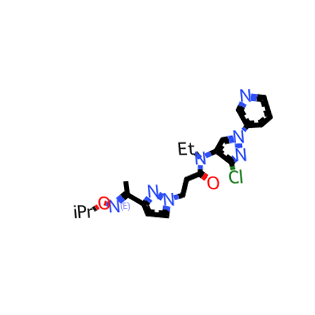 CCN(C(=O)CCn1ccc(/C(C)=N/OC(C)C)n1)c1cn(-c2cccnc2)nc1Cl